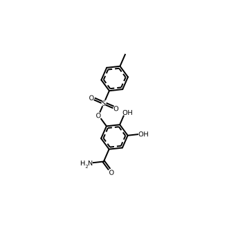 Cc1ccc(S(=O)(=O)Oc2cc(C(N)=O)cc(O)c2O)cc1